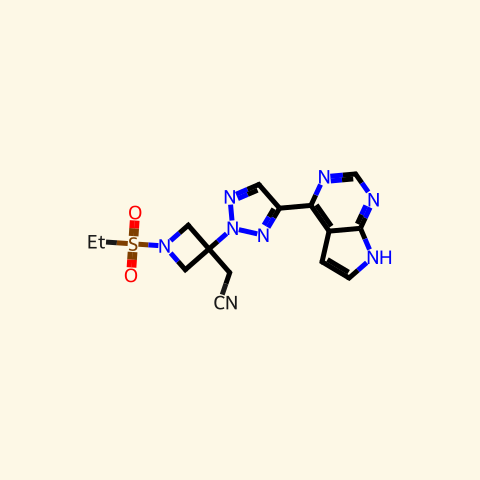 CCS(=O)(=O)N1CC(CC#N)(n2ncc(-c3ncnc4[nH]ccc34)n2)C1